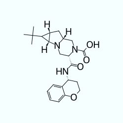 CC(C)(C)C1[C@@H]2[C@H]1C[C@@H]1CN(C(=O)O)[C@H](C(=O)N[C@@H]3CCOc4ccccc43)CN12